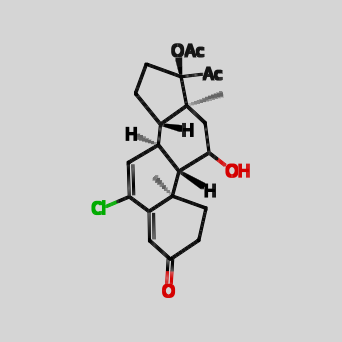 CC(=O)O[C@]1(C(C)=O)CC[C@H]2[C@@H]3C=C(Cl)C4=CC(=O)CC[C@]4(C)[C@H]3C(O)C[C@@]21C